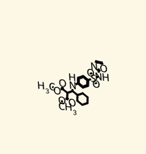 COC(=O)C(C(=O)OC)C(Nc1ccc(S(=O)(=O)Nc2ncco2)cc1)C1CCCCC1